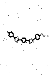 CCCCCCOc1ccc(-c2nnc(-c3ccc(-c4nnc(-c5ccc(C)cc5)o4)cc3)o2)cc1